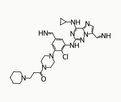 N=Cc1cc(Nc2nc(NC3CC3)c3ncc(C=N)n3n2)c(Cl)c(N2CCN(C(=O)CCN3CCCCC3)CC2)c1